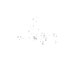 COC(c1ccc(OCc2ccccc2)cc1-c1ncc2c(N3CC4CCC(C4)C3)nc(OC[C@@]34CCCN3C[C@H](F)C4)nc2c1F)C(F)(F)F